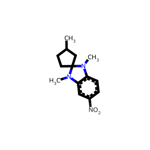 CC1CCC2(C1)N(C)c1ccc([N+](=O)[O-])cc1N2C